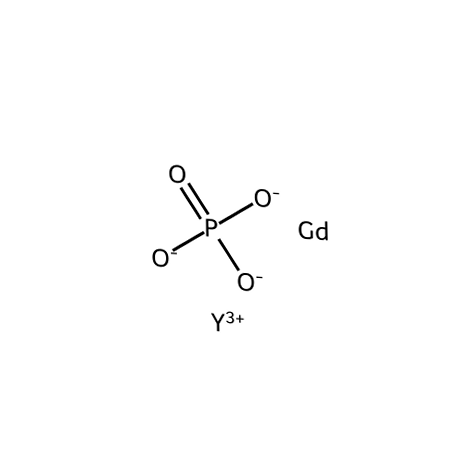 O=P([O-])([O-])[O-].[Gd].[Y+3]